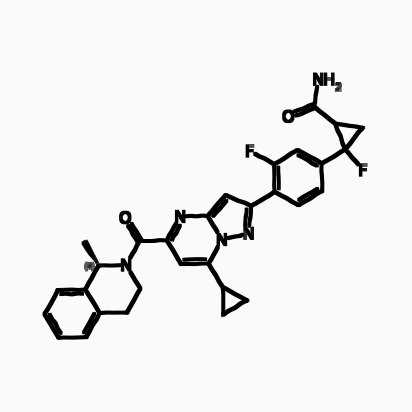 C[C@@H]1c2ccccc2CCN1C(=O)c1cc(C2CC2)n2nc(-c3ccc(C4(F)CC4C(N)=O)cc3F)cc2n1